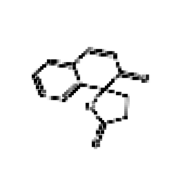 O=C1CCC2(O1)C(=O)C=Cc1ccccc12